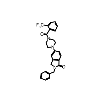 O=C1c2ccc(N3CCN(C(=O)c4ccccc4C(F)(F)F)CC3)cc2CN1Cc1ccccc1